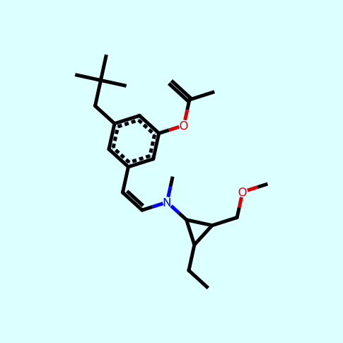 C=C(C)Oc1cc(/C=C\N(C)C2C(CC)C2COC)cc(CC(C)(C)C)c1